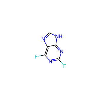 Fc1nc(F)c2nc[nH]c2n1